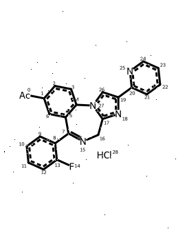 CC(=O)c1ccc2c(c1)C(c1ccccc1F)=NCc1nc(-c3ccccn3)cn1-2.Cl